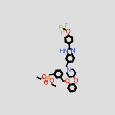 CCOP(=O)(Cc1cccc(COc2ccccc2OC2CCN(Cc3ccc4nc(-c5ccc(OC(F)(F)F)cc5)[nH]c4c3)CC2)c1)OCC